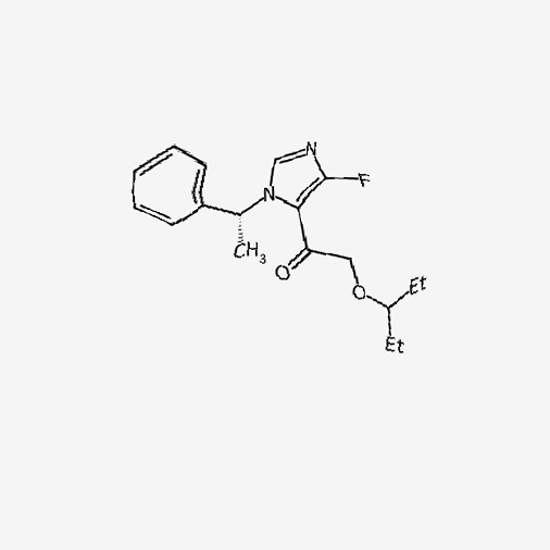 CCC(CC)OCC(=O)c1c(F)ncn1[C@H](C)c1ccccc1